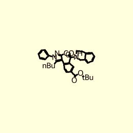 CCCCc1c(-c2ccc(C(=O)OC(C)(C)C)cc2C(=O)N2CCc3ccccc3C2)c(C(=O)O)nn1-c1ccccc1